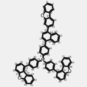 c1ccc2c(c1)oc1cc(-c3ccc(-c4ccc(N(c5ccc(-c6cccc7oc8ccccc8c67)cc5)c5ccc(-c6cccc7oc8ccccc8c67)cc5)cc4)c4ccccc34)ccc12